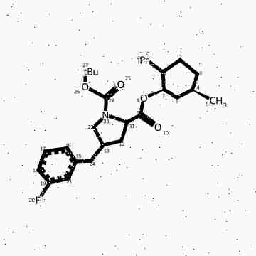 CC(C)C1CC[C@@H](C)C[C@H]1OC(=O)C1CC(Cc2cccc(F)c2)CN1C(=O)OC(C)(C)C